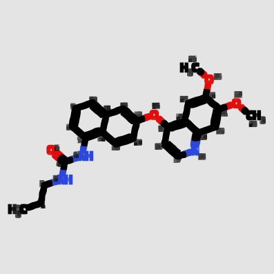 CCCNC(=O)Nc1cccc2cc(Oc3ccnc4cc(OC)c(OC)cc34)ccc12